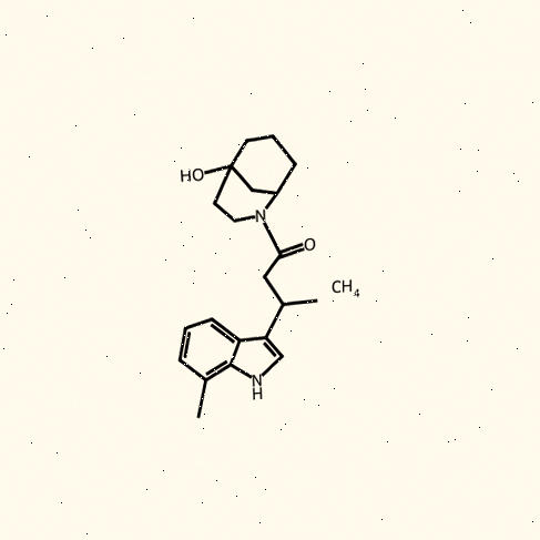 C.Cc1cccc2c(C(C)CC(=O)N3CCC4(O)CCCC3C4)c[nH]c12